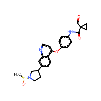 C[S+]([O-])N1CCC(c2ccc3c(Oc4ccc(NC(=O)C5(C=O)CC5)cc4)ccnc3c2)C1